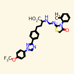 Cc1ccccc1N1C(=O)CS/C1=N\CNC(CCc1ccc(-c2ncn(-c3ccc(OC(F)(F)F)cc3)n2)cc1)C(=O)O